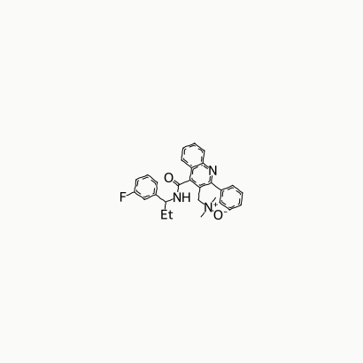 CCC(NC(=O)c1c(C[N+](C)(C)[O-])c(-c2ccccc2)nc2ccccc12)c1cccc(F)c1